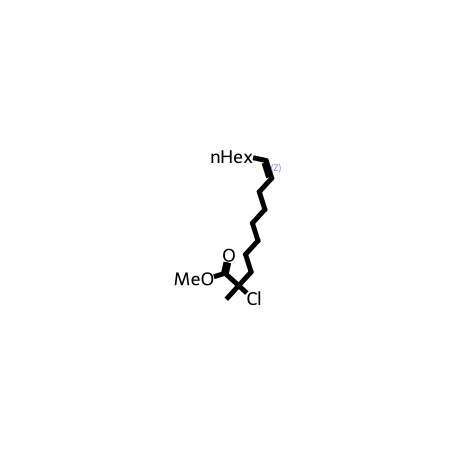 CCCCCC/C=C\CCCCCCC(C)(Cl)C(=O)OC